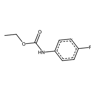 CCOC(=O)Nc1c[c]c(F)cc1